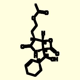 CC(=O)OCC[C@H]1C(=O)N[C@@]2([C@@H](O)[C@@H]3C=CCCC3)C(=O)O[C@@H]12